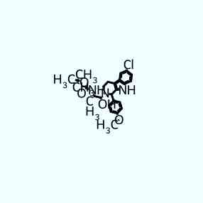 COc1ccc(C2c3[nH]c4ccc(Cl)cc4c3CCN2C(O)[C@H](C)NC(=O)OC(C)(C)C)cc1